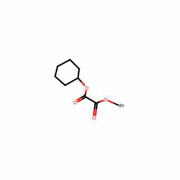 CC(C)OC(=O)C(=O)OC1CCCCC1